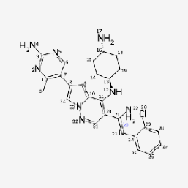 Cc1nc(N)ncc1-c1cc2c(N[C@H]3CC[C@H](N)CC3)c(/C(N)=N/c3ccccc3Cl)cnn2c1